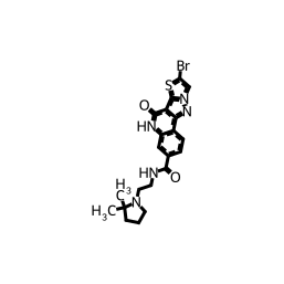 CC1(C)CCCN1CCNC(=O)c1ccc2c(c1)[nH]c(=O)c1c2nn2cc(Br)sc12